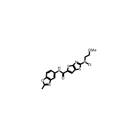 CCN(CCOC)c1nc2sc(C(=O)Nc3ccc4oc(C)nc4c3)cc2s1